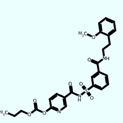 CCCOC(=O)Oc1ccc(C(=O)NS(=O)(=O)c2cccc(C(=O)NCCc3ccccc3OC)c2)cn1